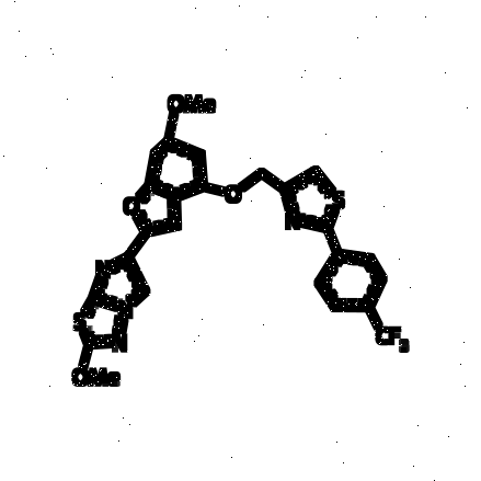 COc1cc(OCc2csc(-c3ccc(C(F)(F)F)cc3)n2)c2cc(-c3cn4nc(OC)sc4n3)oc2c1